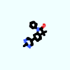 Cc1ncc(-c2ccc3c(c2)N(c2ccccc2)C(=O)C3(C)C)cn1